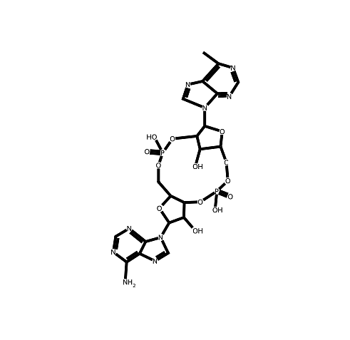 Cc1ncnc2c1ncn2C1OC2COP(=O)(O)OC3C(COP(=O)(O)OC1C2O)OC(n1cnc2c(N)ncnc21)C3O